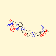 COc1cc2nn([C@H]3CC[C@H](OC4CCN(c5cccc6c5n(C)c(=O)n6C5CCC(=O)NC5=O)CC4)CC3)cc2cc1NC(=O)OC(C)(C)C